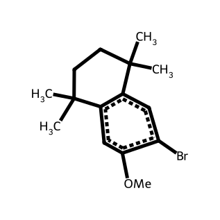 COc1cc2c(cc1Br)C(C)(C)CCC2(C)C